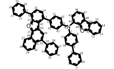 c1ccc(-c2ccc(N(c3ccc(-c4ccc(-c5ccccc5)c5oc6c7ccccc7c(-c7ccccc7)cc6c45)cc3)c3cccc4c3oc3ccccc34)cc2)cc1